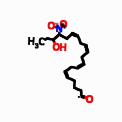 CCC(O)C(C/C=C\C/C=C\C/C=C\C/C=C\CCC[C]=O)[N+](=O)[O-]